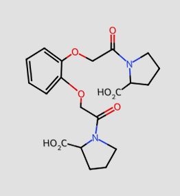 O=C(O)C1CCCN1C(=O)COc1ccccc1OCC(=O)N1CCCC1C(=O)O